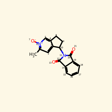 Cc1cc2c(c[n+]1[O-])CCC2N1C(=O)c2ccccc2C1=O